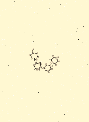 CN1CCN(c2ccnc(-c3cccc(-c4ccccc4)c3)n2)CC1